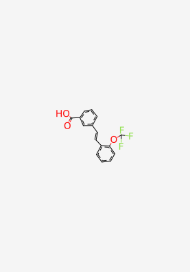 O=C(O)c1cccc(C=Cc2ccccc2OC(F)(F)F)c1